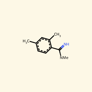 CNC(=N)c1ccc(C)cc1C